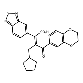 O=C(O)C(=C(CC1CCCC1)C(=O)c1ccc2c(c1)OCCO2)c1ccc2nsnc2c1